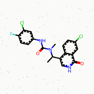 CC(c1c[nH]c(=O)c2cc(Cl)ccc12)N(C)C(=O)Nc1ccc(F)c(Cl)c1